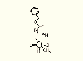 CC1(C)C[C@@H](C[C@@H](C#N)NC(=O)OCc2ccccc2)C(=O)N1